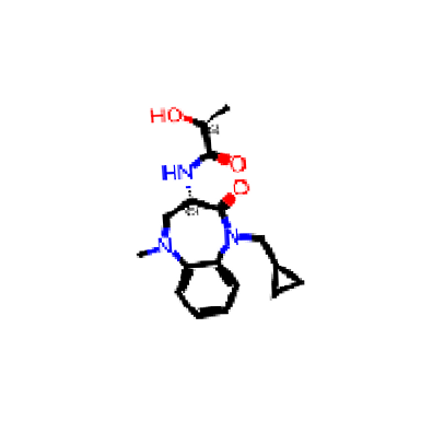 C[C@H](O)C(=O)N[C@H]1CN(C)c2ccccc2N(CC2CC2)C1=O